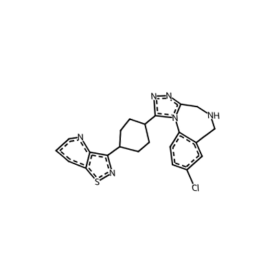 Clc1ccc2c(c1)CNCc1nnc(C3CCC(c4nsc5cccnc45)CC3)n1-2